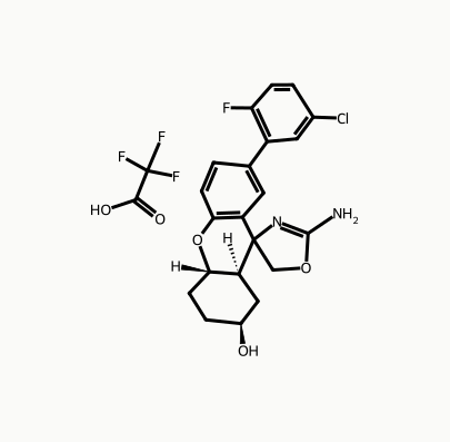 NC1=NC2(CO1)c1cc(-c3cc(Cl)ccc3F)ccc1O[C@H]1CC[C@H](O)C[C@@H]12.O=C(O)C(F)(F)F